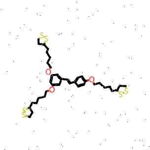 C(=C\c1cc(OCCCCCC2CCSS2)cc(OCCCCCC2CCSS2)c1)/c1ccc(OCCCCCC2CCSS2)cc1